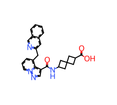 O=C(NC1CC2(C1)CC(C(=O)O)C2)c1cnn2cccc(Cc3cc4ccccc4cn3)c12